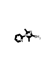 Bc1nc(C)n(-c2ccccn2)c1C